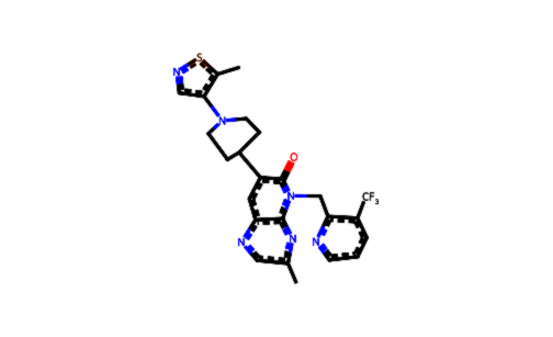 Cc1cnc2cc(C3CCN(c4cnsc4C)CC3)c(=O)n(Cc3ncccc3C(F)(F)F)c2n1